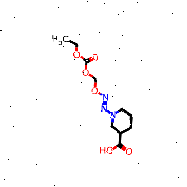 CCOC(=O)OCON=NN1CCCC(C(=O)O)C1